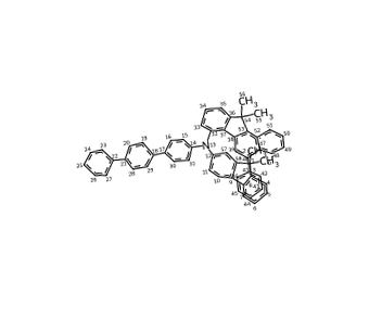 CC1(C)c2ccccc2-c2ccc(N(c3ccc(-c4ccc(-c5ccccc5)cc4)cc3)c3cccc4c3-c3cc(-c5ccccc5)c5ccccc5c3C4(C)C)cc21